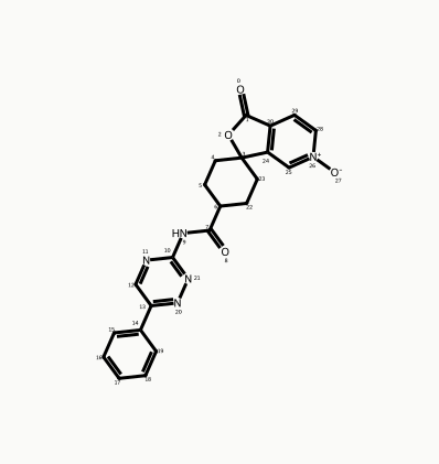 O=C1OC2(CCC(C(=O)Nc3ncc(-c4ccccc4)nn3)CC2)c2c[n+]([O-])ccc21